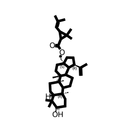 C=C(C)[C@@H]1CC[C@]2(COC(=O)C3C(C=C(C)C)C3(C)C)CC[C@]3(C)C(CCC4[C@@]5(C)CC[C@H](O)C(C)(C)[C@@H]5CC[C@]43C)C12